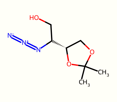 CC1(C)OC[C@@H](C(CO)N=[N+]=[N-])O1